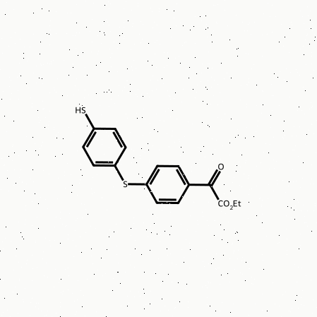 CCOC(=O)C(=O)c1ccc(Sc2ccc(S)cc2)cc1